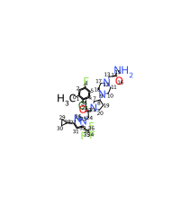 Cc1cc(F)cc([C@@H]2[C@H](N3CCN(CC(N)=O)CC3)CCN2C(=O)Cn2nc(C3CC3)cc2C(F)(F)F)c1Cl